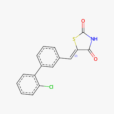 O=C1NC(=O)/C(=C/c2cccc(-c3ccccc3Cl)c2)S1